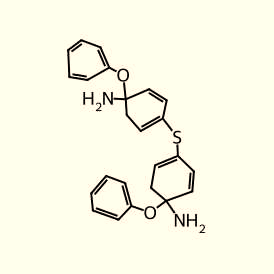 NC1(Oc2ccccc2)C=CC(SC2=CCC(N)(Oc3ccccc3)C=C2)=CC1